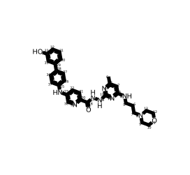 Cc1cc(NCCCN2CCOCC2)nc(NNC(=O)c2ccc(Nc3ccc(-c4cccc(O)c4)cc3)cn2)n1